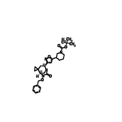 CC(C)(C)OC(=O)N1CCCC(c2cc([C@@H]3CC4(CC4)[C@H]4CN3C(=O)N4OCc3ccccc3)no2)C1